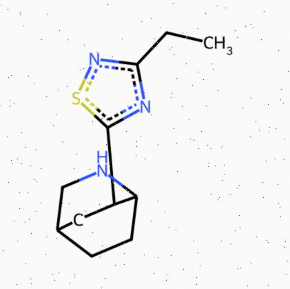 CCc1nsc(C2CC3CCC2NC3)n1